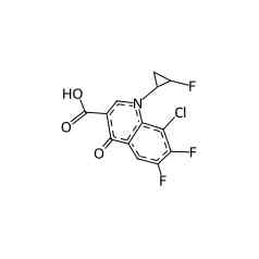 O=C(O)c1cn(C2CC2F)c2c(Cl)c(F)c(F)cc2c1=O